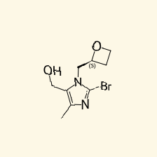 Cc1nc(Br)n(C[C@@H]2CCO2)c1CO